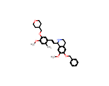 COc1cc2c(cc1OCc1ccccc1)CCNC2/C=C/c1cc(OCC2CCOCC2)c(OC)cc1C